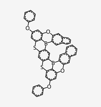 c1ccc(Oc2cc3c4c(c2)Sc2cc5c(cc2B4c2cc4ccccc4cc2O3)B2c3cc4ccccc4cc3Oc3cc(Oc4ccccc4)cc(c32)S5)cc1